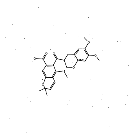 COc1cc2c(cc1OC)OCC(C(=O)c1c([N+](=O)[O-])cc3c(c1OC)C=CC(C)(C)O3)C2